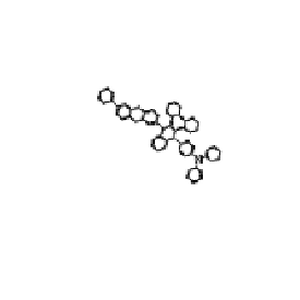 c1ccc(-c2ccc3cc4cc(-c5c6ccccc6c(-c6ccc(N(c7ccccc7)c7ccccc7)cc6)c6c7ccccc7c7ccccc7c56)ccc4cc3c2)cc1